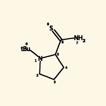 CC(C)(C)N1CCCC1C(N)=S